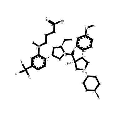 CC[C@@H]1C[C@@H](c2ccc(C(F)(F)F)cc2N(C)CCCC(=O)O)CN1C(=O)[C@]1(F)CN([C@H]2CC[C@H](C)CC2)C[C@H]1c1ccc(OC)cc1